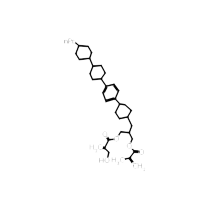 C=C(C)C(=O)OCC(COC(=O)C(=C)CO)CC1CCC(c2ccc(C3CCC(C4CCC(CCC)CC4)CC3)cc2)CC1